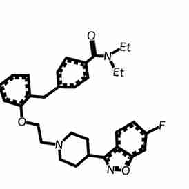 CCN(CC)C(=O)c1ccc(Cc2ccccc2OCCN2CCC(c3noc4cc(F)ccc34)CC2)cc1